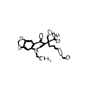 CCn1cc(C(CC)(CCCOC=O)C(=O)O)c(=O)c2cc3c(cc21)OCO3